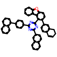 C1=Cc2ccc(-c3ccc4oc5ccccc5c4c3-c3nc(-c4ccc(-c5cccc6ccccc56)cc4)nc(-c4ccc5ccccc5c4)n3)cc2CC1